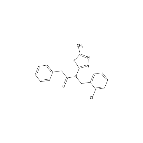 Cc1nnc(N(Cc2ccccc2Cl)C(=O)Cc2ccccc2)s1